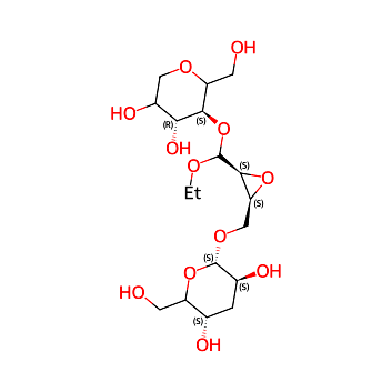 CCOC(O[C@@H]1C(CO)OCC(O)[C@H]1O)[C@H]1O[C@H]1CO[C@H]1OC(CO)[C@@H](O)C[C@@H]1O